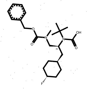 CN(C[C@H](C[C@H]1CC[C@H](F)CC1)N(C(=O)O)C(C)(C)C)C(=O)OCc1ccccc1